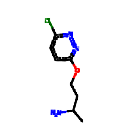 CC(N)CCOc1ccc(Cl)nn1